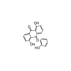 O=C1c2cccc(O)c2C(=O)c2cccc(O)c21.Oc1ccccc1